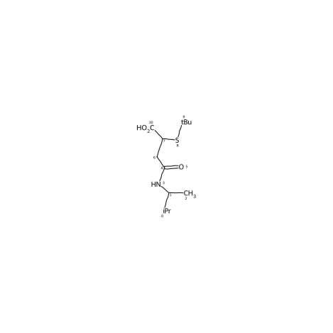 CC(C)C(C)NC(=O)CC(SC(C)(C)C)C(=O)O